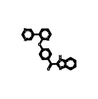 O=C(c1ccc(Oc2ncccc2-c2cncnc2)cc1)c1nc2ccccc2[nH]1